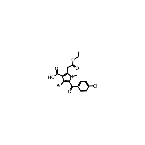 CCOC(=O)Cc1c(C(=O)O)c(Br)c(C(=O)c2ccc(Cl)cc2)n1C